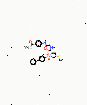 COC(=O)c1ccc(N(C)C(=O)CN(C)C(=O)[C@@H]2C[C@@H](SC(C)=O)CN2S(=O)(=O)c2ccc(-c3ccccc3)cc2)cc1